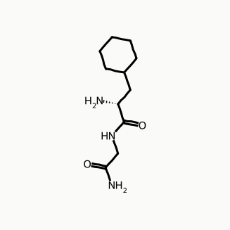 NC(=O)CNC(=O)[C@H](N)CC1CCCCC1